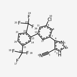 N#Cc1[nH]nnc1-c1cc(Cl)cc(-c2cc(C(F)(F)F)ccc2C(F)(F)F)c1